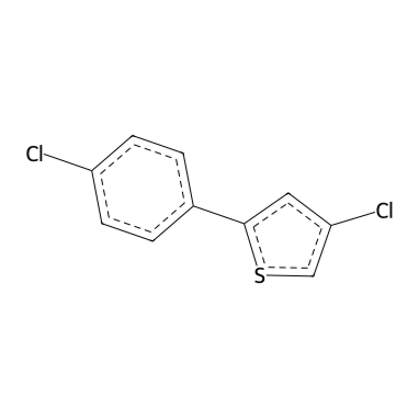 Clc1ccc(-c2cc(Cl)cs2)cc1